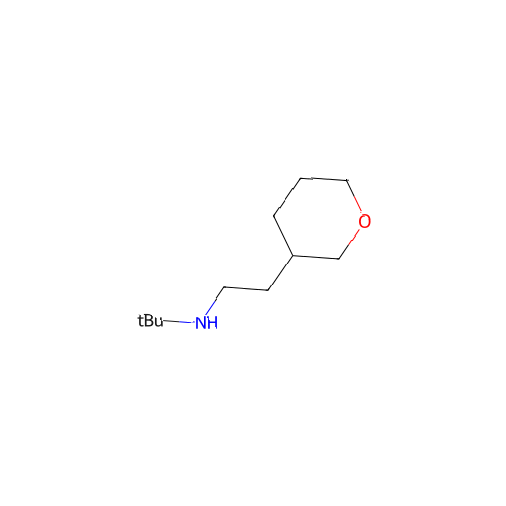 CC(C)(C)NCCC1CCCOC1